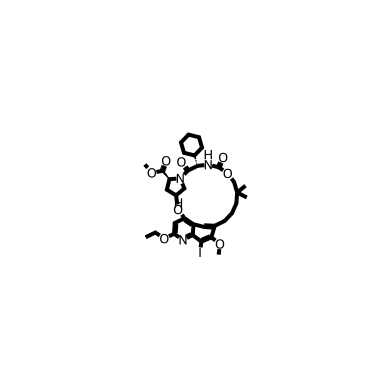 CCOc1cc2c3cc(c(OC)c(I)c3n1)CCCC(C)(C)COC(=O)N[C@@H](C1CCCCC1)C(=O)N1C[C@@H](C[C@H]1C(=O)OC)O2